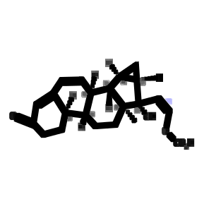 C[C@]12CC[C@H]3[C@@H](C=CC4=CC(=O)CC[C@@H]43)[C@@H]1[C@H]1C[C@H]1[C@@]2(O)/C=C\OC(=O)O